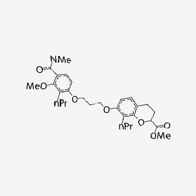 CCCc1c(OCCCOc2ccc(C(=O)NC)c(OC)c2CCC)ccc2c1OC(C(=O)OC)CC2